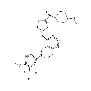 COc1ncc(N2CCc3ncnc(N[C@H]4CCN(C(=O)C5CCC(OC)CC5)C4)c3C2)cc1C(F)(F)F